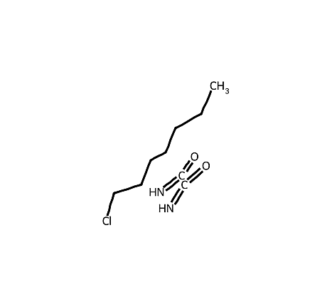 CCCCCCCCl.N=C=O.N=C=O